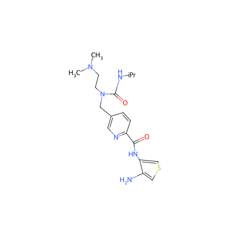 CC(C)NC(=O)N(CCN(C)C)Cc1ccc(C(=O)Nc2cscc2N)nc1